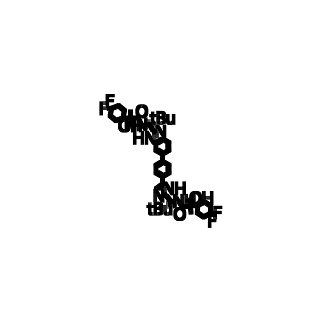 CC(C)(C)[C@H](NC(=O)C(C)(C)C1(O)CCC(F)(F)CC1)c1ncc(-c2ccc(-c3ccc4nc([C@@H](NC(=O)C(C)(C)C5(O)CCC(F)(F)CC5)C(C)(C)C)[nH]c4c3)cc2)[nH]1